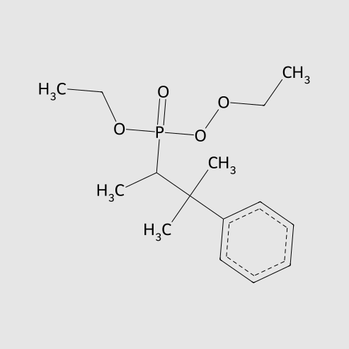 CCOOP(=O)(OCC)C(C)C(C)(C)c1ccccc1